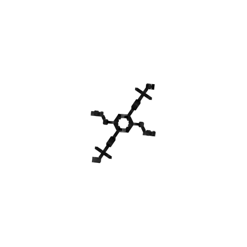 CCCCCCCCOc1cc(C#CC(C)(C)O)c(OCCCCCCCC)cc1C#CC(C)(C)O